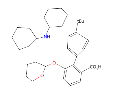 C1CCC(NC2CCCCC2)CC1.CC(C)(C)c1ccc(-c2c(OC3CCCCO3)cccc2C(=O)O)cc1